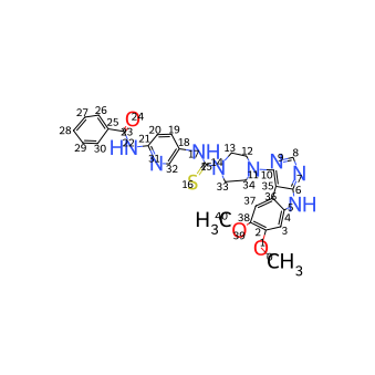 COc1cc2[nH]c3ncnc(N4CCN(C(=S)Nc5ccc(NC(=O)c6ccccc6)nc5)CC4)c3c2cc1OC